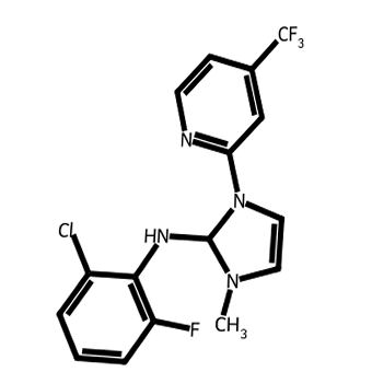 CN1C=CN(c2cc(C(F)(F)F)ccn2)C1Nc1c(F)cccc1Cl